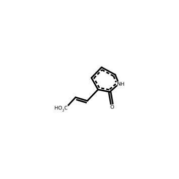 O=C(O)C=Cc1ccc[nH]c1=O